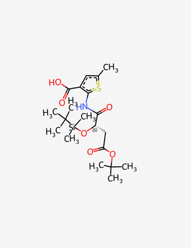 Cc1cc(C(=O)O)c(NC(=O)[C@H](CC(=O)OC(C)(C)C)O[Si](C)(C)C(C)(C)C)s1